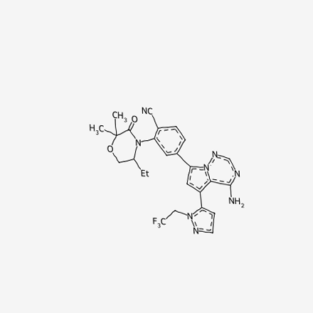 CCC1COC(C)(C)C(=O)N1c1cc(-c2cc(-c3ccnn3CC(F)(F)F)c3c(N)ncnn23)ccc1C#N